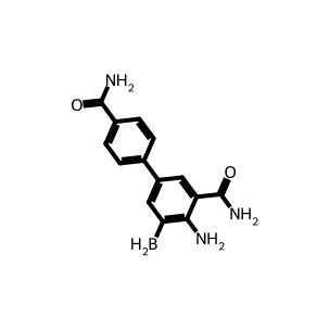 Bc1cc(-c2ccc(C(N)=O)cc2)cc(C(N)=O)c1N